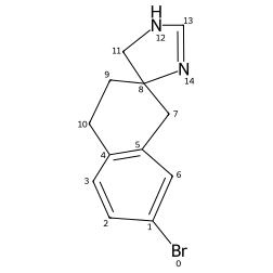 Brc1ccc2c(c1)CC1(CC2)CNC=N1